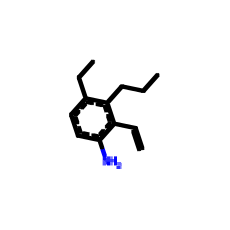 C=Cc1c(N)ccc(CC)c1CCC